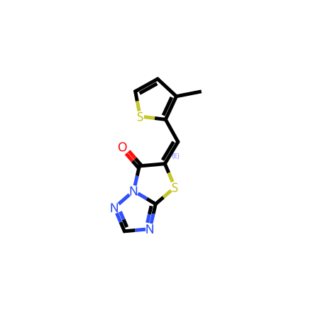 Cc1ccsc1/C=c1/sc2ncnn2c1=O